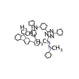 C/C(=C\C=C(/C)c1nc(-c2ccccc2)nc(-c2cccc(-n3c4ccccc4c4ccc(C5CC=CC=C5C5=CC=C6c7ccccc7C(C)(C)C6C5)cc43)c2)n1)c1ccccc1